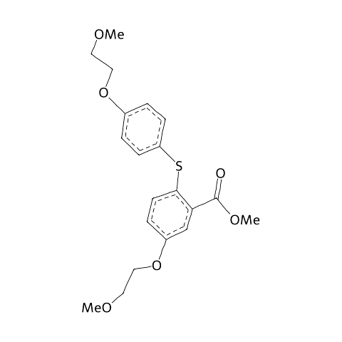 COCCOc1ccc(Sc2ccc(OCCOC)cc2C(=O)OC)cc1